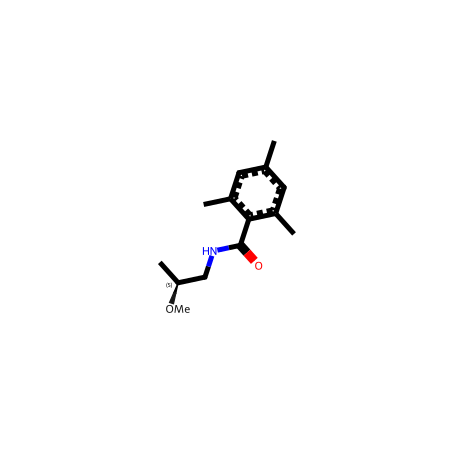 CO[C@@H](C)CNC(=O)c1c(C)cc(C)cc1C